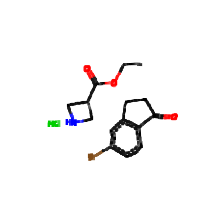 CCOC(=O)C1CNC1.Cl.O=C1CCc2cc(Br)ccc21